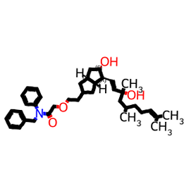 CC(C)=CCCC(C)CC(C)(O)C=C[C@H]1[C@@H]2CC(CCOCC(=O)N(Cc3ccccc3)c3ccccc3)C[C@H]2C[C@@H]1O